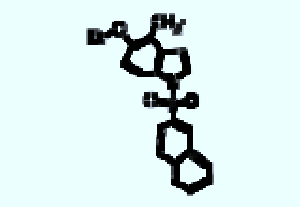 [CH2]c1c(OCC)ccc2c1ccn2S(=O)(=O)c1ccc2ccccc2c1